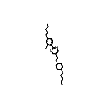 CCCCCc1ccc(-c2ncc(CC[C@H]3CC[C@H](CCCCC)CC3)cn2)c(C)c1